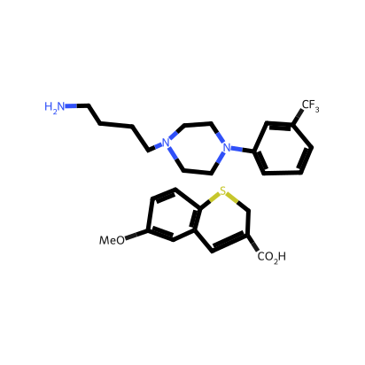 COc1ccc2c(c1)C=C(C(=O)O)CS2.NCCCCN1CCN(c2cccc(C(F)(F)F)c2)CC1